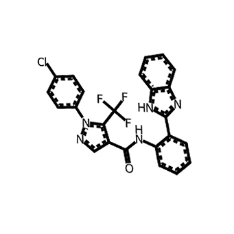 O=C(Nc1ccccc1-c1nc2ccccc2[nH]1)c1cnn(-c2ccc(Cl)cc2)c1C(F)(F)F